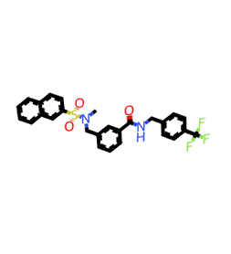 CN(Cc1cccc(C(=O)NCc2ccc(C(F)(F)F)cc2)c1)S(=O)(=O)c1ccc2ccccc2c1